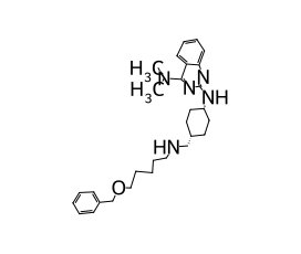 CN(C)c1nc(N[C@H]2CC[C@@H](CNCCCCCOCc3ccccc3)CC2)nc2ccccc12